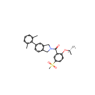 Cc1cccc(C)c1-c1ccc2c(c1)CN(C(=O)c1cc(S(C)(=O)=O)ccc1O[C@@H](C)C(F)(F)F)C2